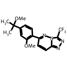 COc1cc(C(C)(C)OC)ccc1-c1ccc2nnc(C(F)(F)F)n2n1